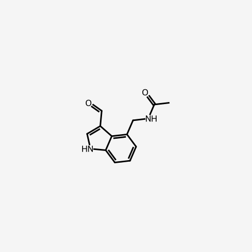 CC(=O)NCc1cccc2[nH]cc(C=O)c12